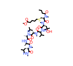 CCCC(=O)N(C)[C@H](CSCCCCC(=O)OC)C(=O)N(C)[C@@H](CC(C)(C)O)C(=O)N[C@H](C(=O)N(C)[C@@H](CC(C)C)C(=O)N[C@@H](C)C(=O)N[C@H](C)C(=O)N(C)[C@@H](CC(C)C)C(=O)NC)C(C)C